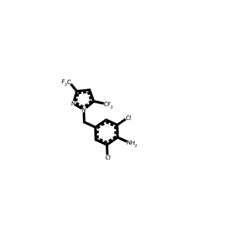 Nc1c(Cl)cc(Cn2nc(C(F)(F)F)cc2C(F)(F)F)cc1Cl